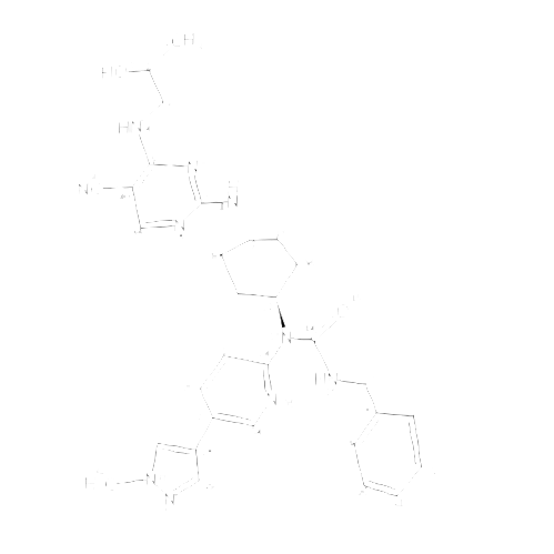 CC(O)CNc1nc(N[C@H]2CC[C@H](N(C(=O)NCc3ccccc3)c3ccc(-c4cnn(C)c4)cn3)CC2)ncc1C#N